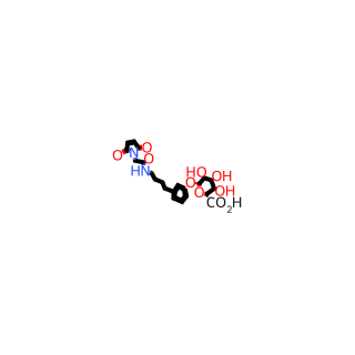 O=C(CN1C(=O)C=CC1=O)NCCCCc1cccc(O[C@@H]2O[C@H](C(=O)O)[C@@H](O)[C@H](O)[C@H]2O)c1